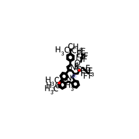 CCC/C(=C1/N=C(c2ccc(C)cc2)c2ccccc21)c1c(-c2ccc(C(C)(C)C)cc2)cc(-c2ccc(C(C)(C)C)cc2)n1B(OCC(F)(F)C(F)(F)F)OCC(F)(F)C(F)(F)F